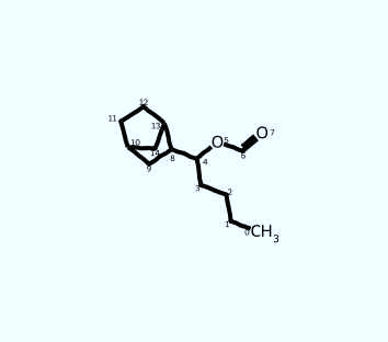 CCCCC(OC=O)C1CC2CCC1C2